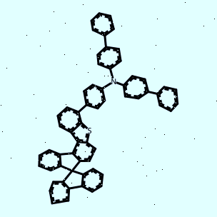 c1ccc(-c2ccc(N(c3ccc(-c4ccccc4)cc3)c3ccc(-c4cccc5c4sc4ccc6c(c45)-c4ccccc4C64c5ccccc5-c5ccccc54)cc3)cc2)cc1